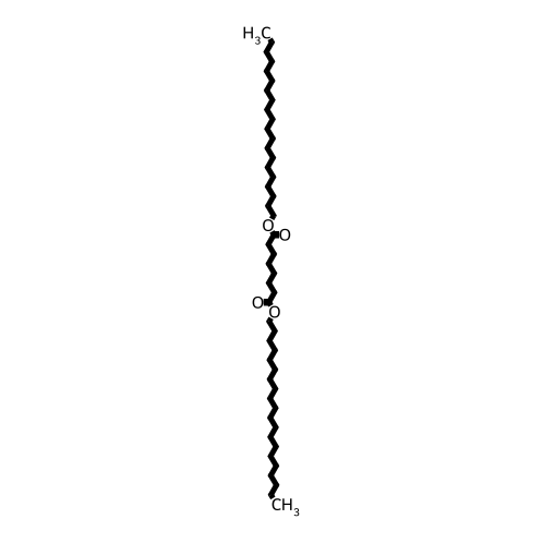 CCCCCCCCCCCCCCCCCCCCOC(=O)CCCCCCC(=O)OCCCCCCCCCCCCCCCCCCCC